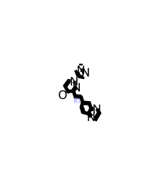 Cn1cc(-n2ccc(=O)c(/C=C/c3ccc4nccnc4c3)n2)cn1